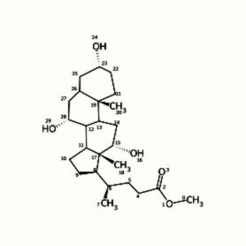 COC(=O)CC[C@@H](C)[C@H]1CCC2C3C(C[C@H](O)[C@@]21C)[C@@]1(C)CC[C@@H](O)CC1C[C@H]3O